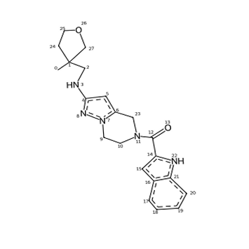 CC1(CNc2cc3n(n2)CCN(C(=O)c2cc4ccccc4[nH]2)C3)CCOC1